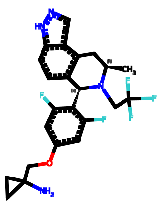 C[C@@H]1Cc2c(ccc3[nH]ncc23)[C@@H](c2c(F)cc(OCC3(N)CC3)cc2F)N1CC(F)(F)F